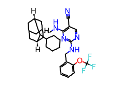 N#Cc1cnc(NCc2ccccc2OC(F)(F)F)nc1NC[C@]12CC3C[C@H](C1)[C@@H](C1CCCCC1)[C@@H](C3)C2